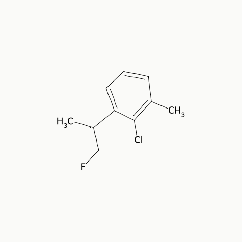 C[C](CF)c1cccc(C)c1Cl